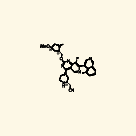 CO[C@@H]1C[C@@H](COc2nc(N3CCN[C@@H](CC#N)C3)c3cnc(-c4cncc5cccc(C)c45)c(F)c3n2)N(C)C1